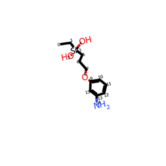 CC[Si](O)(O)CCCOc1cccc(N)c1